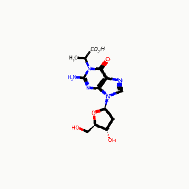 CC(C(=O)O)n1c(N)nc2c(ncn2[C@H]2C[C@H](O)[C@@H](CO)O2)c1=O